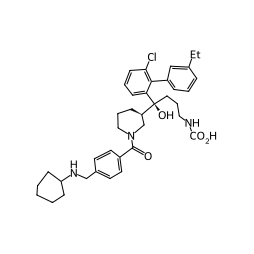 CCc1cccc(-c2c(Cl)cccc2[C@](O)(CCCNC(=O)O)[C@@H]2CCCN(C(=O)c3ccc(CNC4CCCCC4)cc3)C2)c1